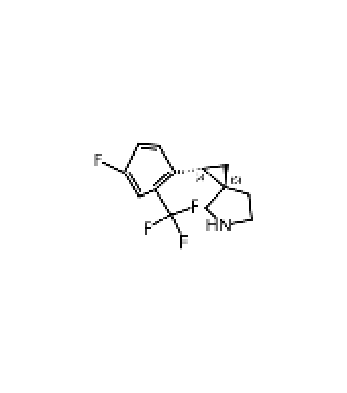 Fc1ccc([C@@H]2C[C@]23CCNC3)c(C(F)(F)F)c1